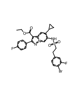 CCOC(=O)c1c(-c2ccc(F)cc2)nn2cc(NS(=O)(=O)CCc3ccc(Br)c(F)c3)c(C3CC3)cc12